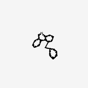 c1ccc(Cc2cccc3ncc4ccccc4c23)cc1